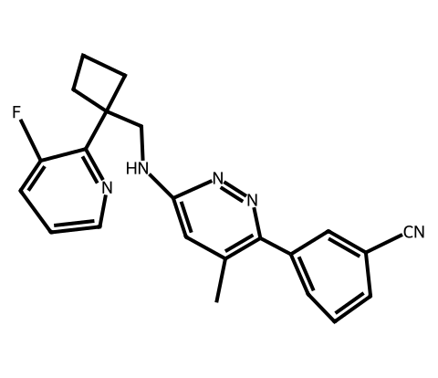 Cc1cc(NCC2(c3ncccc3F)CCC2)nnc1-c1cccc(C#N)c1